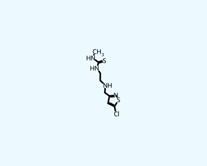 CNC(=S)NCCNCc1cc(Cl)sn1